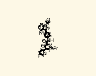 CC(C)n1cc(-c2ccc(F)cn2)c(=O)c(C(=O)Nc2ccc(-c3nn(C4COC4)c4ncnc(N)c34)cc2)n1